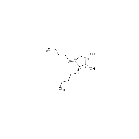 CCCCO[C@@H]1[C@@H](O)[C@@H](O)C[C@@H]1OCCCC